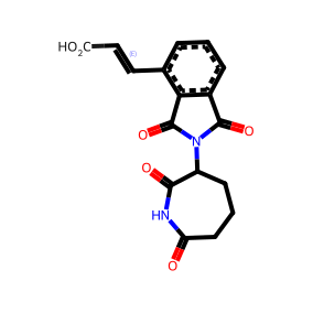 O=C(O)/C=C/c1cccc2c1C(=O)N(C1CCCC(=O)NC1=O)C2=O